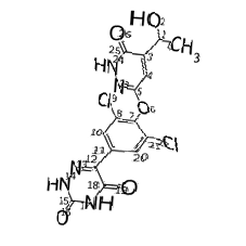 CC(O)c1cc(Oc2c(Cl)cc(-c3n[nH]c(=O)[nH]c3=O)cc2Cl)n[nH]c1=O